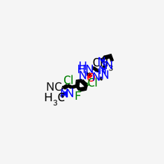 CC(NC(=O)Nc1cc(-c2nn(C)c(C#N)c2Cl)c(F)cc1Cl)c1ncnn1-c1ncccn1